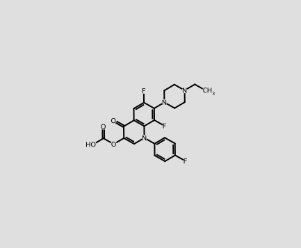 CCN1CCN(c2c(F)cc3c(=O)c(OC(=O)O)cn(-c4ccc(F)cc4)c3c2F)CC1